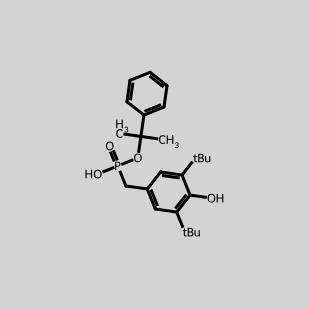 CC(C)(C)c1cc(CP(=O)(O)OC(C)(C)c2ccccc2)cc(C(C)(C)C)c1O